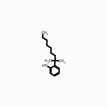 CCCCCCCC(C)(C)c1ccccc1O